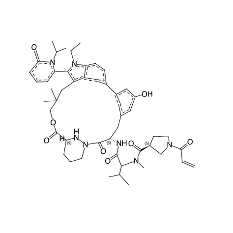 C=CC(=O)N1CC[C@H](C(=O)N(C)C(C(=O)N[C@H]2Cc3cc(O)cc(c3)-c3ccc4c(c3)c(c(-c3cccc(=O)n3C(C)C)n4CC)CC(C)(C)COC(=O)[C@@H]3CCCN(N3)C2=O)C(C)C)C1